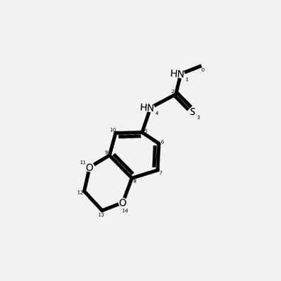 CNC(=S)Nc1ccc2c(c1)OCCO2